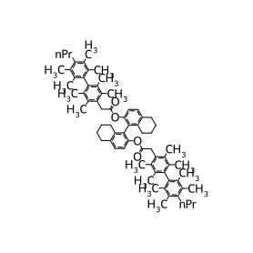 CCCc1c(C)c(C)c(-c2c(C)c(C)c(CC(=O)Oc3ccc4c(c3-c3c(OC(=O)Cc5c(C)c(C)c(-c6c(C)c(C)c(CCC)c(C)c6C)c(C)c5C)ccc5c3CCCC5)CCCC4)c(C)c2C)c(C)c1C